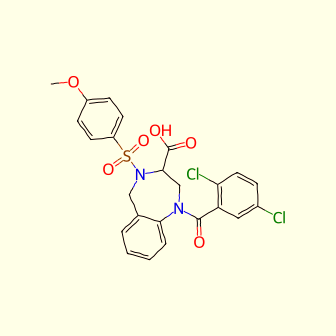 COc1ccc(S(=O)(=O)N2Cc3ccccc3N(C(=O)c3cc(Cl)ccc3Cl)CC2C(=O)O)cc1